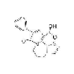 O=C(O)c1cc(-c2ccccc2)c(=O)n2c1-c1sccc1CCC2